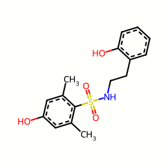 Cc1cc(O)cc(C)c1S(=O)(=O)NCCc1ccccc1O